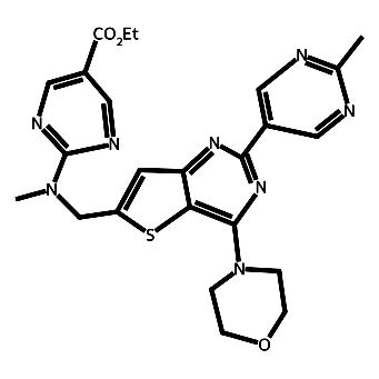 CCOC(=O)c1cnc(N(C)Cc2cc3nc(-c4cnc(C)nc4)nc(N4CCOCC4)c3s2)nc1